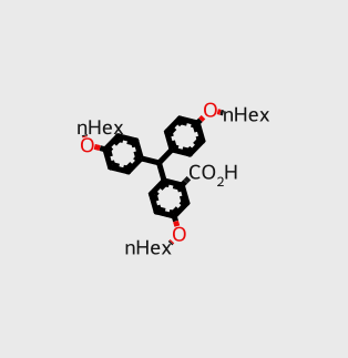 CCCCCCOc1ccc(C(c2ccc(OCCCCCC)cc2)c2ccc(OCCCCCC)cc2C(=O)O)cc1